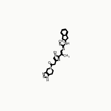 C=N/C(=N\C=C(/C)c1nc(CC(=O)N2CCc3[nH]nnc3C2)cn1CC)NC1Cc2ccccc2C1